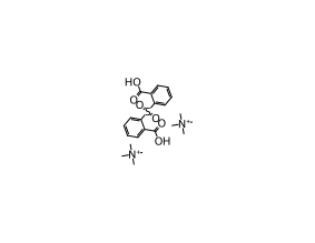 C[N+](C)(C)C.C[N+](C)(C)C.O=C(O)c1ccccc1S(=O)(=O)c1ccccc1C(=O)O